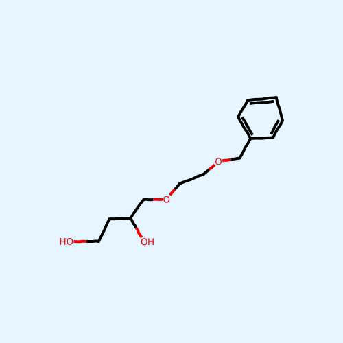 OCCC(O)COCCOCc1ccccc1